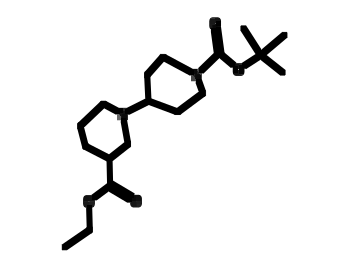 CCOC(=O)C1CCCN(C2CCN(C(=O)OC(C)(C)C)CC2)C1